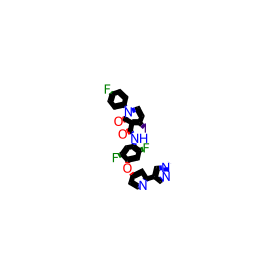 Cn1cc(-c2cc(Oc3cc(F)c(NC(=O)c4c(I)ccn(-c5ccc(F)cc5)c4=O)cc3F)ccn2)cn1